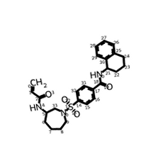 C=CC(=O)NC1CCCCN(S(=O)(=O)c2ccc(C(=O)NC3CCCc4ccccc43)cc2)C1